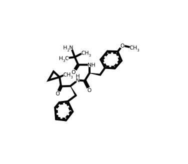 COc1ccc(C[C@H](NC(=O)C(C)(C)N)C(=O)N[C@@H](Cc2ccccc2)C(=O)C2(C)CC2)cc1